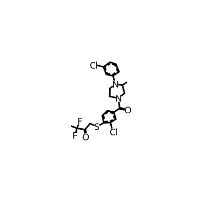 CC1CN(C(=O)c2ccc(SCC(=O)C(C)(F)F)c(Cl)c2)CCN1c1cccc(Cl)c1